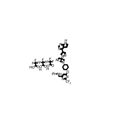 CC(C)NCc1cc(O[C@H]2CC[C@@H](N3CC(CC#N)(n4cc(-c5ncnc6[nH]ccc56)cn4)C3)CC2)nc(C(F)(F)F)n1.O=C(O)C(F)(F)F.O=C(O)C(F)(F)F.O=C(O)C(F)(F)F